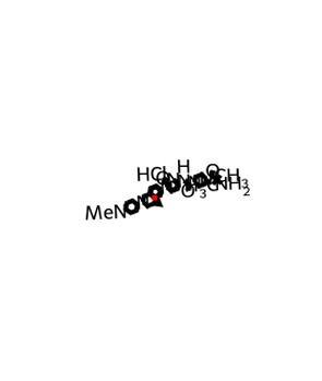 CN[C@H]1CC[C@H](N(Cc2ccc(-n3ccc(NC(=O)N4CCN(C(=O)C(C)(C)N)CC4)nc3=O)cc2)CC2CC2)CC1.Cl